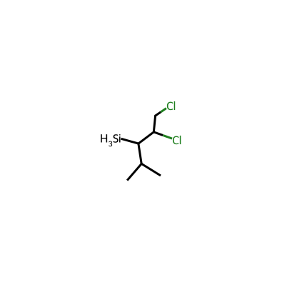 CC(C)C([SiH3])C(Cl)CCl